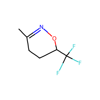 CC1=NOC(C(F)(F)F)CC1